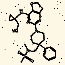 CN(CC1(c2ccccc2)CCN(c2nc3c(c(NC4(CO)CC4)n2)OCC3)CC1)S(C)(=O)=O